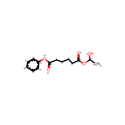 CC(O)OC(=O)CCCCC(=O)Oc1ccccc1